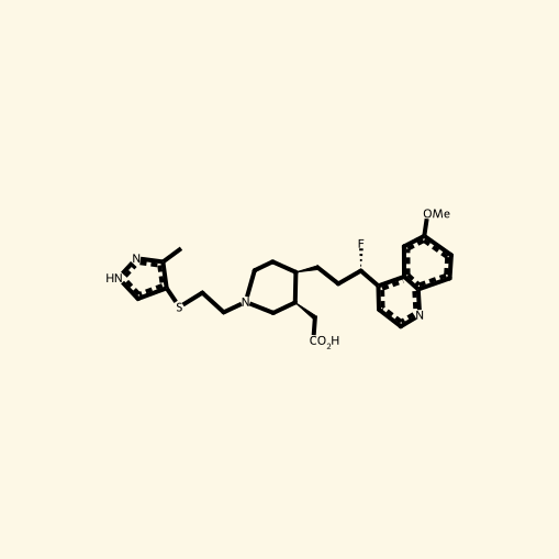 COc1ccc2nccc([C@@H](F)CC[C@@H]3CCN(CCSc4c[nH]nc4C)C[C@@H]3CC(=O)O)c2c1